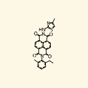 CCc1cccc(C)c1N1C(=O)c2ccc3c4c(ccc(c24)C1=O)C(=O)N(Nc1nc(C)cs1)C3=O